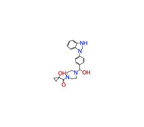 O=C(N1CCN(C(O)c2ccc(N3CNc4ccccc43)cc2)CC1)C1(O)CC1